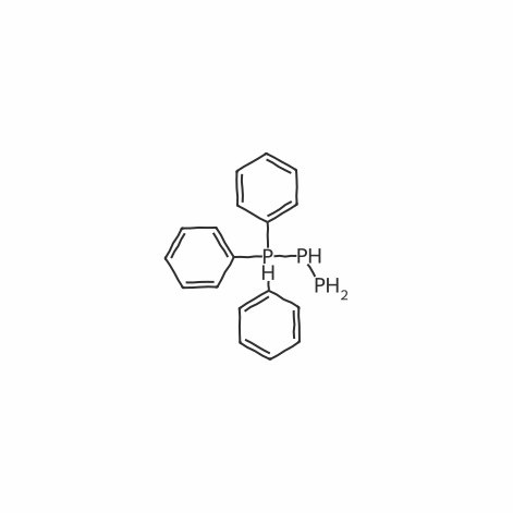 PP[PH](c1ccccc1)(c1ccccc1)c1ccccc1